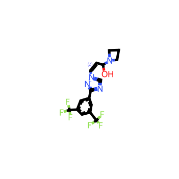 OC(/C=C\n1cnc(-c2cc(C(F)(F)F)cc(C(F)(F)F)c2)n1)N1CCC1